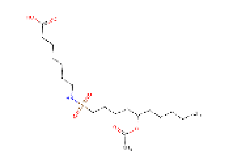 CCCCCC(CCCCS(=O)(=O)NCCCCCCC(=O)O)OC(C)=O